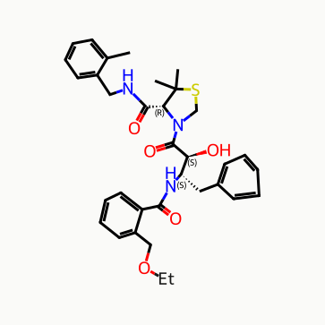 CCOCc1ccccc1C(=O)N[C@@H](Cc1ccccc1)[C@H](O)C(=O)N1CSC(C)(C)[C@H]1C(=O)NCc1ccccc1C